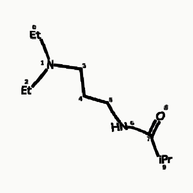 CCN(CC)CCCNC(=O)C(C)C